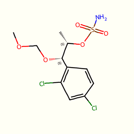 COCO[C@@H](c1ccc(Cl)cc1Cl)[C@H](C)OS(N)(=O)=O